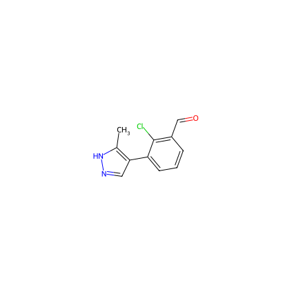 Cc1[nH]ncc1-c1cccc(C=O)c1Cl